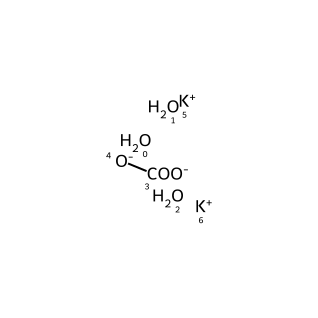 O.O.O.O=C([O-])[O-].[K+].[K+]